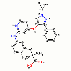 CC(C)(Cc1cccc(Nc2cc(Oc3cn(C4CC4)nc3-c3ccccc3)ccn2)c1)C(=O)O